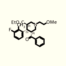 CCOC(=O)[C@H]1CN(CCOC)C[C@H](C(=O)c2ccccc2)[C@@H]1c1cccc(F)c1C